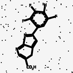 [2H]c1c(F)cc(C2=NC3=NC=C(C(=O)O)CC3=C2)c(F)c1F